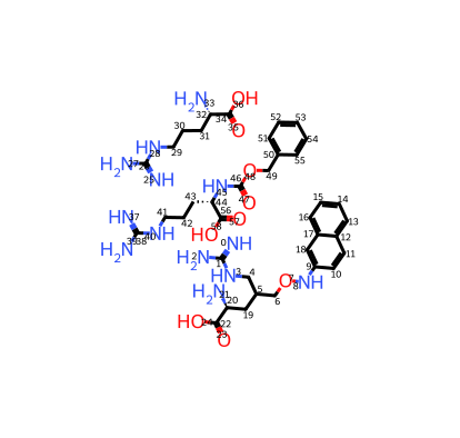 N=C(N)NCC(CONc1ccc2ccccc2c1)C[C@H](N)C(=O)O.N=C(N)NCCC[C@H](N)C(=O)O.N=C(N)NCCC[C@H](NC(=O)OCc1ccccc1)C(=O)O